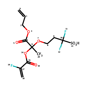 C=CCOC(=O)C(OCCC(F)(F)S(=O)(=O)O)(OC(=O)C(=C)F)C(F)(F)F